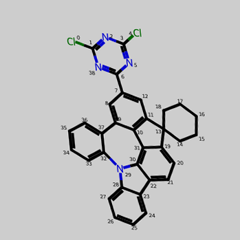 Clc1nc(Cl)nc(-c2cc3c4c(c2)C2(CCCCC2)c2ccc5c6ccccc6n(c5c2-4)-c2ccccc2-3)n1